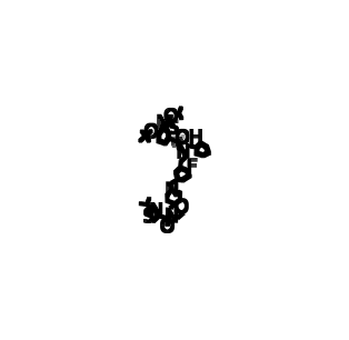 CC(C)Oc1nc2c(OC(C)(C)C)ccc([C@H](O)CN(CCc3cc(CN4CCC5(CC4)CN(C(=O)c4csc(C(C)C)n4)CCO5)ccc3F)Cc3ccccc3)c2s1